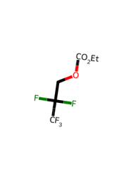 CCOC(=O)OCC(F)(F)C(F)(F)F